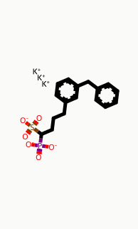 O=P([O-])([O-])C(CCCc1cccc(Cc2ccccc2)c1)S(=O)(=O)[O-].[K+].[K+].[K+]